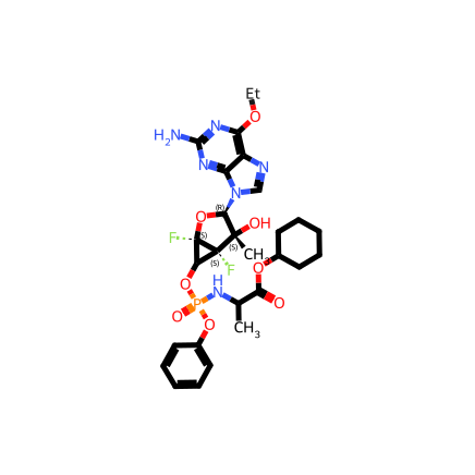 CCOc1nc(N)nc2c1ncn2[C@@H]1O[C@]2(F)C(OP(=O)(NC(C)C(=O)OC3CCCCC3)Oc3ccccc3)[C@]2(F)[C@@]1(C)O